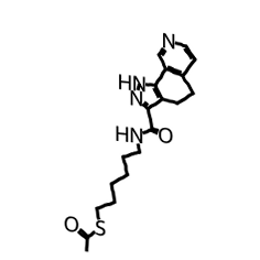 CC(=O)SCCCCCCNC(=O)c1n[nH]c2c1CCc1ccncc1-2